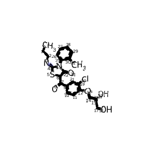 CCC/N=C1/SC(C(=O)c2ccc(OC[C@H](O)CO)c(Cl)c2)C(=O)N1c1ccccc1C